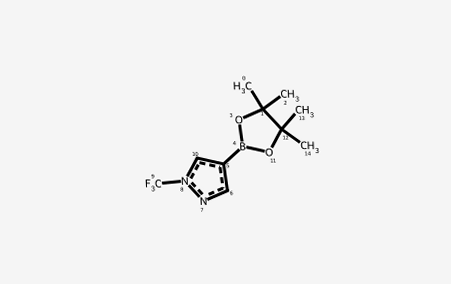 CC1(C)OB(c2cnn(C(F)(F)F)c2)OC1(C)C